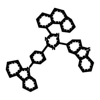 c1ccc2c(c1)ccc1cccc(-c3nc(-c4ccc(-n5c6ccccc6c6ccccc65)cc4)nc(-c4ccc5sc6ccccc6c5c4)n3)c12